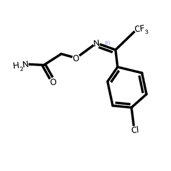 NC(=O)CO/N=C(\c1ccc(Cl)cc1)C(F)(F)F